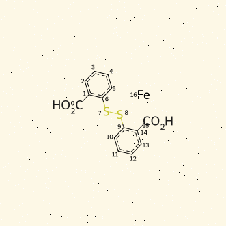 O=C(O)c1ccccc1SSc1ccccc1C(=O)O.[Fe]